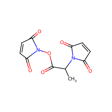 CC(C(=O)ON1C(=O)C=CC1=O)N1C(=O)C=CC1=O